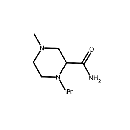 CC(C)N1CCN(C)CC1C(N)=O